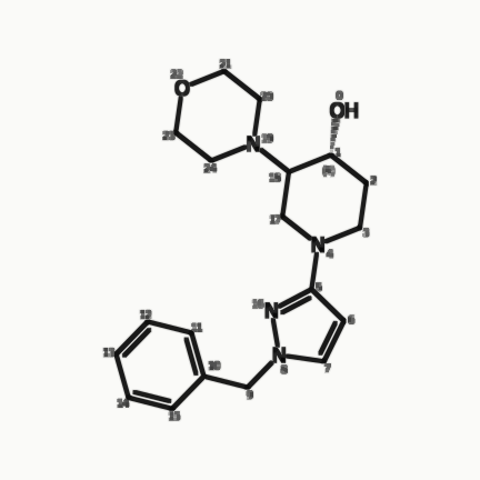 O[C@@H]1CCN(c2ccn(Cc3ccccc3)n2)CC1N1CCOCC1